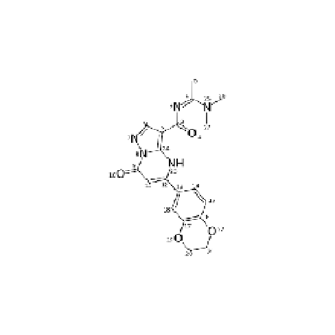 CC(=NC(=O)c1cnn2c(=O)cc(-c3ccc4c(c3)OCCO4)[nH]c12)N(C)C